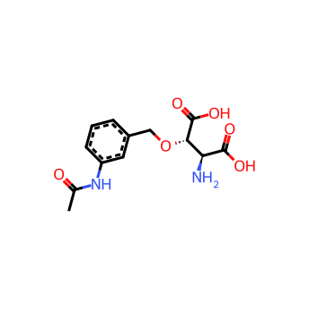 CC(=O)Nc1cccc(CO[C@H](C(=O)O)[C@H](N)C(=O)O)c1